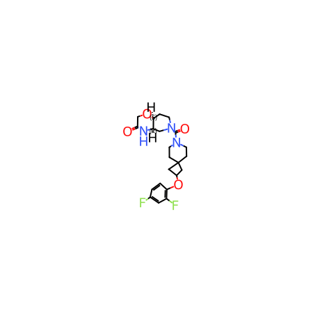 O=C1CO[C@H]2CCN(C(=O)N3CCC4(CC3)CC(Oc3ccc(F)cc3F)C4)C[C@H]2N1